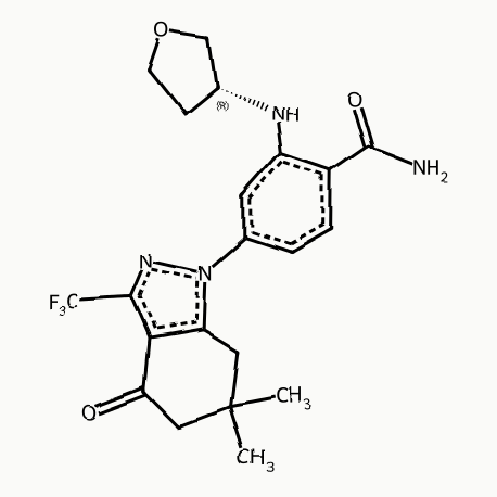 CC1(C)CC(=O)c2c(C(F)(F)F)nn(-c3ccc(C(N)=O)c(N[C@@H]4CCOC4)c3)c2C1